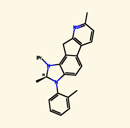 Cc1ccc2c(n1)Cc1c-2ccc2c1N(C(C)C)[C@H](C)N2c1ccccc1C